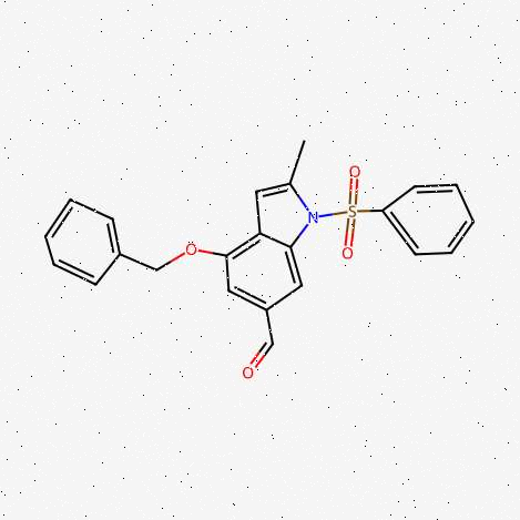 Cc1cc2c(OCc3ccccc3)cc(C=O)cc2n1S(=O)(=O)c1ccccc1